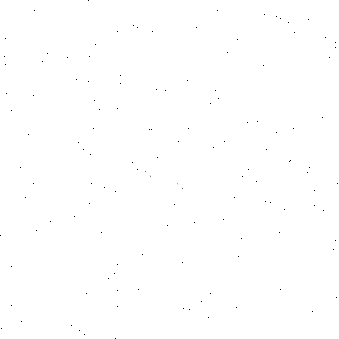 CCCCCC(C)N=C(NC(C)CCCCC)SCC